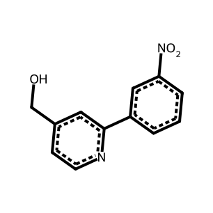 O=[N+]([O-])c1cccc(-c2cc(CO)ccn2)c1